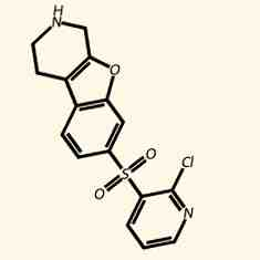 O=S(=O)(c1ccc2c3c(oc2c1)CNCC3)c1cccnc1Cl